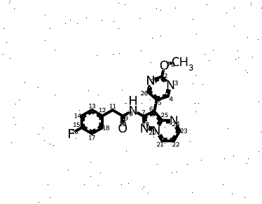 COc1ncc(-c2c(NC(=O)Cc3ccc(F)cc3)nn3cccnc23)cn1